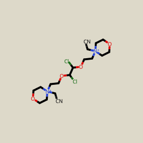 N#CC[N+]1(CCOC(Cl)C(Cl)OCC[N+]2(CC#N)CCOCC2)CCOCC1